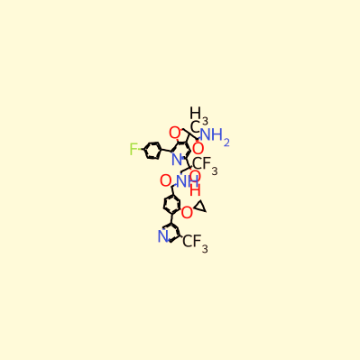 C[C@]1(C(N)=O)COc2c1cc(C(O)(CNC(=O)c1ccc(-c3cncc(C(F)(F)F)c3)c(OC3CC3)c1)C(F)(F)F)nc2-c1ccc(F)cc1